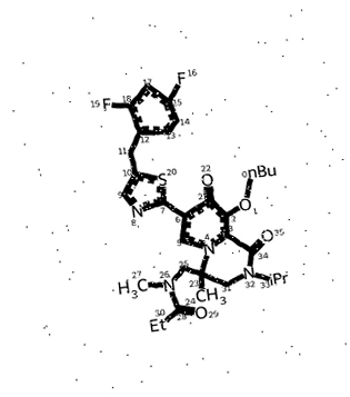 CCCCOc1c2n(cc(-c3ncc(Cc4ccc(F)cc4F)s3)c1=O)C(C)(CN(C)C(=O)CC)CN(C(C)C)C2=O